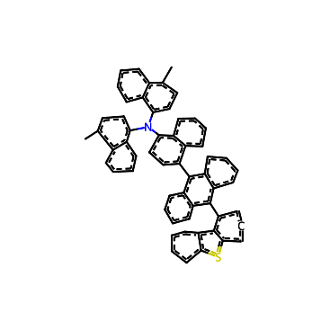 Cc1ccc(N(c2ccc(C)c3ccccc23)c2ccc(-c3c4ccccc4c(-c4cccc5sc6ccccc6c45)c4ccccc34)c3ccccc23)c2ccccc12